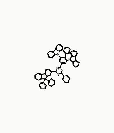 c1ccc(-c2nc(-c3cc(-n4c5ccccc5c5ccccc54)c(-c4ccccc4)c(-n4c5ccccc5c5ccccc54)c3)nc(-c3ccc4c(c3)C(c3ccccc3)(c3ccccc3)c3ccccc3-4)n2)cc1